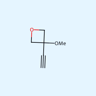 C#CC1(OC)COC1